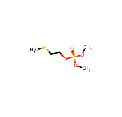 COP(=O)(OC)OCCSC